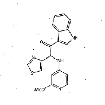 COc1cc(NC(C(=O)c2c[nH]c3ccccc23)c2cscn2)ccn1